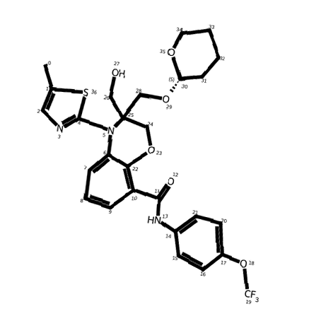 Cc1cnc(N2c3cccc(C(=O)Nc4ccc(OC(F)(F)F)cc4)c3OCC2(CO)CO[C@H]2CCCCO2)s1